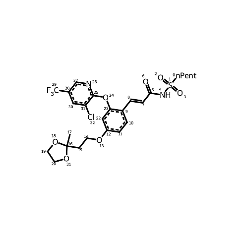 CCCCCS(=O)(=O)NC(=O)C=Cc1ccc(OCCC2(C)OCCO2)cc1Oc1ncc(C(F)(F)F)cc1Cl